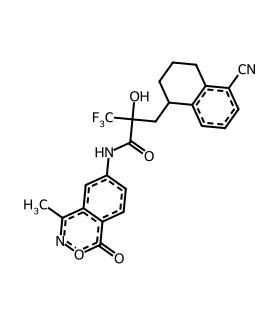 Cc1noc(=O)c2ccc(NC(=O)C(O)(CC3CCCc4c(C#N)cccc43)C(F)(F)F)cc12